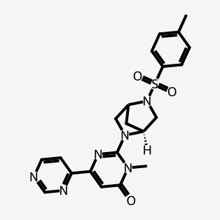 Cc1ccc(S(=O)(=O)N2C[C@@H]3CC2CN3c2nc(-c3ccncn3)cc(=O)n2C)cc1